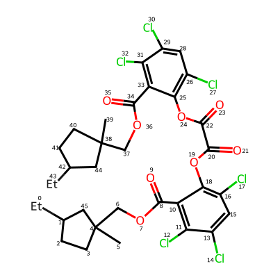 CCC1CCC(C)(COC(=O)c2c(Cl)c(Cl)cc(Cl)c2OC(=O)C(=O)Oc2c(Cl)cc(Cl)c(Cl)c2C(=O)OCC2(C)CCC(CC)C2)C1